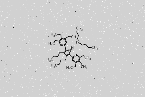 CCCCC1=C(c2cc(CC)c(CC)c(CC)c2)[N+](=[N-])C(c2cc(CC)c(CC)c(CC)c2)=C1CCCC.CCC[CH2][Pd][CH2]CCC